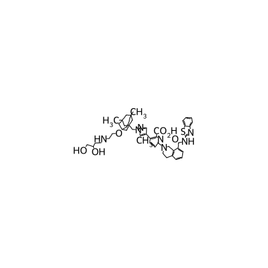 Cc1c(-c2ccc(N3CCc4cccc(C(=O)Nc5nc6ccccc6s5)c4C3)nc2C(=O)O)cnn1CC12CC3(C)CC(C)(C1)CC(OCCNCCC(O)CO)(C3)C2